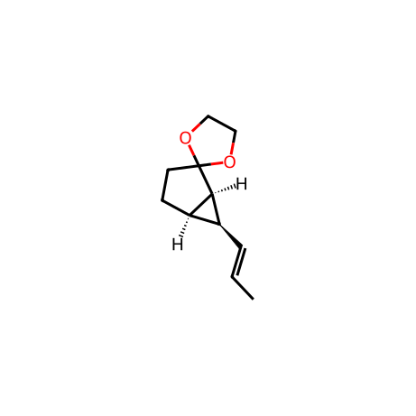 CC=C[C@H]1[C@H]2CCC3(OCCO3)[C@@H]12